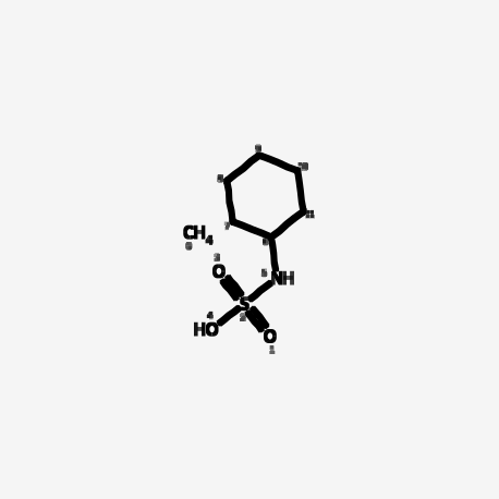 C.O=S(=O)(O)NC1CCCCC1